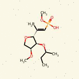 B/C(=C\P(=O)(O)OC)[C@H]1OC[C@H](OC)[C@@H]1OC(C)CC